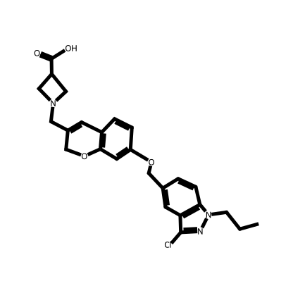 CCCn1nc(Cl)c2cc(COc3ccc4c(c3)OCC(CN3CC(C(=O)O)C3)=C4)ccc21